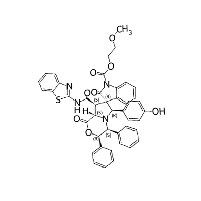 COCCOC(=O)N1C(=O)[C@@]2(c3ccccc31)[C@H](C(=O)Nc1nc3ccccc3s1)[C@H]1C(=O)O[C@H](c3ccccc3)[C@H](c3ccccc3)N1[C@@H]2c1ccc(O)cc1